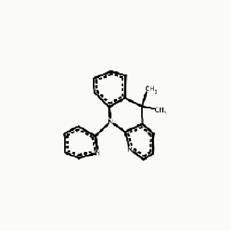 CC1(C)c2ccccc2N(c2ccccn2)c2ncccc21